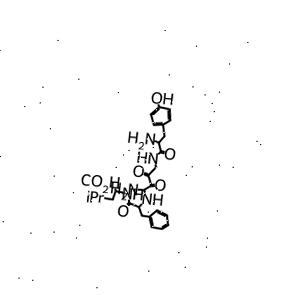 CC(C)CC(NC(=O)C(Cc1ccccc1)NC(N)C(=O)C(=O)CNC(=O)C(N)Cc1ccc(O)cc1)C(=O)O